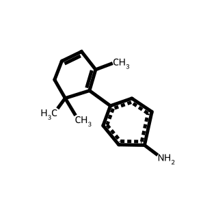 CC1=C(c2ccc(N)cc2)C(C)(C)CC=C1